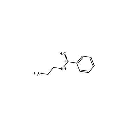 [CH2]CCN[C@@H](C)c1ccccc1